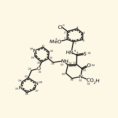 COc1c(Cl)cccc1NC(=S)C1=C(NCc2ccncc2OCc2cnccn2)CCN(C(=O)O)C1=O